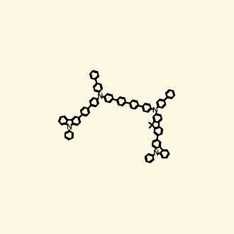 CC1(C)c2cc(-c3ccc4c(c3)c3ccccc3n4-c3ccccc3)ccc2-c2ccc(N(c3ccc(-c4ccccc4)cc3)c3ccc(-c4ccc(-c5ccc(-c6ccc(N(c7ccc(-c8ccccc8)cc7)c7ccc(-c8ccc(-c9ccc%10c(c9)c9ccccc9n%10-c9ccccc9)cc8)cc7)cc6)cc5)cc4)cc3)cc21